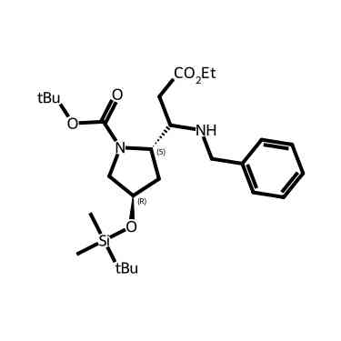 CCOC(=O)CC(NCc1ccccc1)[C@@H]1C[C@@H](O[Si](C)(C)C(C)(C)C)CN1C(=O)OC(C)(C)C